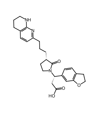 O=C(O)C[C@@H](c1ccc2c(c1)OCC2)N1CC[C@H](CCCc2ccc3c(n2)NCCC3)C1=O